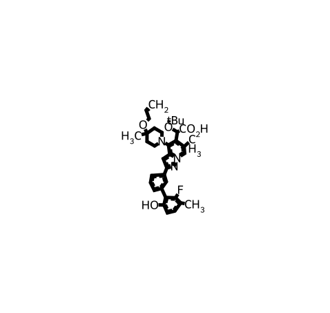 C=CCOC1(C)CCN(c2c(C(OC(C)(C)C)C(=O)O)c(C)cn3nc(-c4cccc(-c5c(O)ccc(C)c5F)c4)cc23)CC1